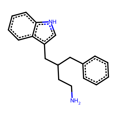 NCC[C](Cc1ccccc1)Cc1c[nH]c2ccccc12